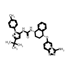 Cc1ccc(-n2nc(C(C)(C)C)cc2NC(=O)N[C@H]2CC[C@@H](Oc3ccc4nnc(N)n4c3)c3ccccc32)cc1